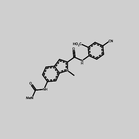 CNC(=O)Nc1ccc2cc(C(=O)Nc3ccc(C#N)cc3C(=O)O)n(C)c2c1